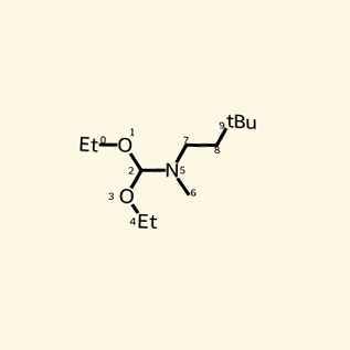 CCOC(OCC)N(C)CCC(C)(C)C